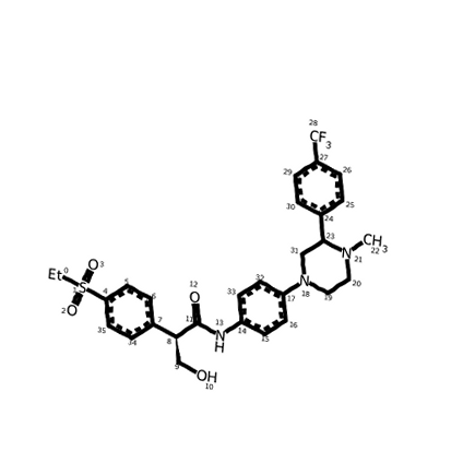 CCS(=O)(=O)c1ccc([C@H](CO)C(=O)Nc2ccc(N3CCN(C)C(c4ccc(C(F)(F)F)cc4)C3)cc2)cc1